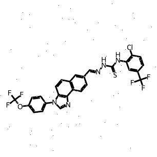 FC(F)(F)Oc1ccc(-n2cnc3c4ccc(C=NNC(=S)Nc5cc(C(F)(F)F)ccc5Cl)cc4ccc32)cc1